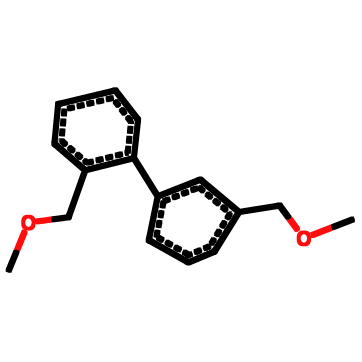 COCc1cccc(-c2ccccc2COC)c1